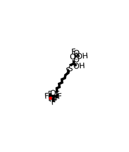 O=P(O)(OF)OCC(O)CSSCCCCCCCCCOC(C(F)(F)F)(C(F)(F)F)C(F)(F)F